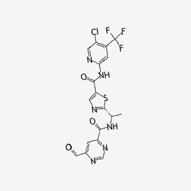 CC(NC(=O)c1cc(C=O)ncn1)c1ncc(C(=O)Nc2cc(C(F)(F)F)c(Cl)cn2)s1